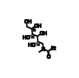 CCC(=O)N(C)C[C@H](O)C(O)[C@H](O)[C@H](O)CO